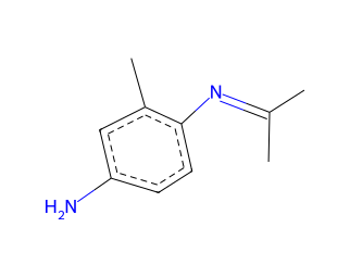 CC(C)=Nc1ccc(N)cc1C